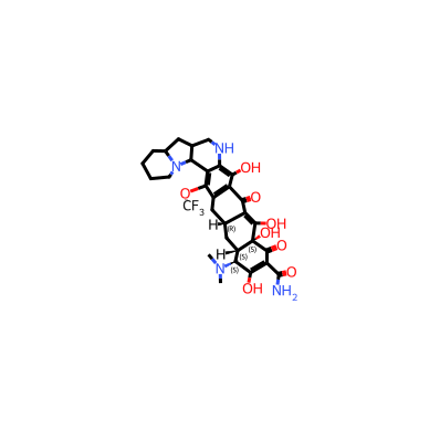 CN(C)[C@@H]1C(O)=C(C(N)=O)C(=O)[C@@]2(O)C(O)=C3C(=O)c4c(O)c5c(c(OC(F)(F)F)c4C[C@H]3C[C@@H]12)C1C(CN5)CC2CCCCN21